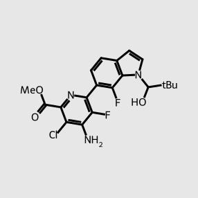 COC(=O)c1nc(-c2ccc3ccn(C(O)C(C)(C)C)c3c2F)c(F)c(N)c1Cl